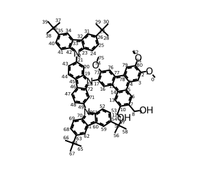 COc1cc2c3cc(CO)c(CO)cc3c3cc(-n4c5cc(-n6c7ccc(C(C)(C)C)cc7c7cc(C(C)(C)C)ccc76)ccc5c5ccc(-n6c7ccc(C(C)(C)C)cc7c7cc(C(C)(C)C)ccc76)cc54)c(OC)cc3c2cc1OC